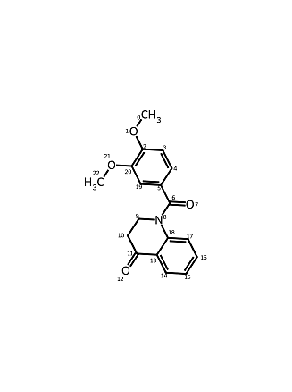 COc1ccc(C(=O)N2CCC(=O)c3ccccc32)cc1OC